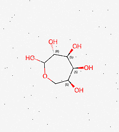 OC1OC[C@H](O)[C@H](O)[C@H](O)[C@H]1O